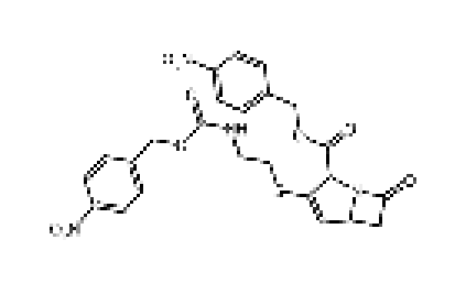 O=C(NCCSC1=CC2CC(=O)N2C1C(=O)OCc1ccc([N+](=O)[O-])cc1)OCc1ccc([N+](=O)[O-])cc1